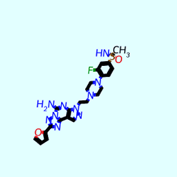 CS(=N)(=O)c1ccc(N2CCN(CCn3ncc4c3nc(N)n3nc(-c5ccco5)nc43)CC2)c(F)c1